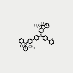 Cc1ccccc1N(c1ccc(-c2ccc(N(c3ccc(-c4ccccn4)cc3)c3ccc4c(c3)-c3ccccc3C4(C)C)cc2)cc1)c1ccccc1C